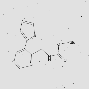 CC(C)(C)OC(=O)NCc1ccccc1-c1cccs1